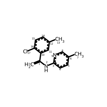 C=C(Nc1ccc(C)cn1)c1cc(C)ccc1Cl